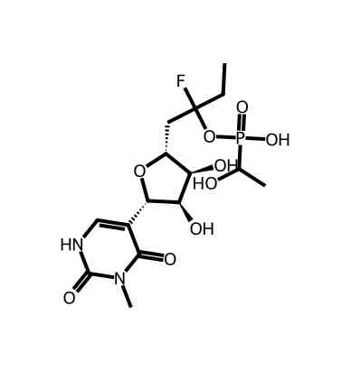 CCC(F)(C[C@H]1O[C@@H](c2c[nH]c(=O)n(C)c2=O)[C@H](O)[C@@H]1O)OP(=O)(O)C(C)O